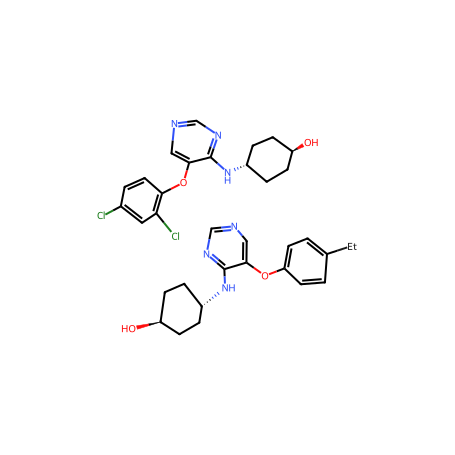 CCc1ccc(Oc2cncnc2N[C@H]2CC[C@H](O)CC2)cc1.O[C@H]1CC[C@H](Nc2ncncc2Oc2ccc(Cl)cc2Cl)CC1